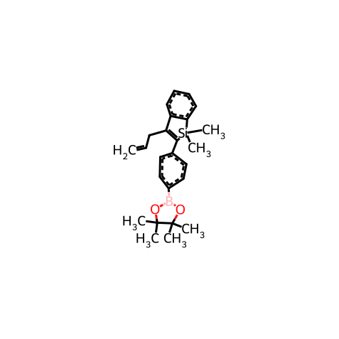 C=CCC1=C(c2ccc(B3OC(C)(C)C(C)(C)O3)cc2)[Si](C)(C)c2ccccc21